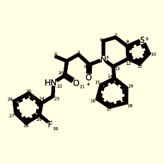 CC(CC(=O)N1CCc2sccc2C1c1ccccc1)C(=O)NCc1ccccc1F